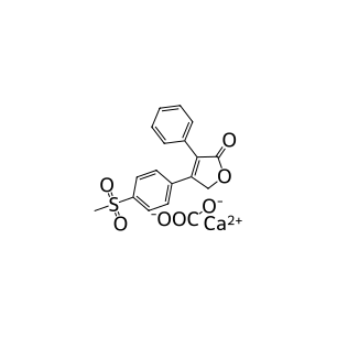 CS(=O)(=O)c1ccc(C2=C(c3ccccc3)C(=O)OC2)cc1.O=C([O-])[O-].[Ca+2]